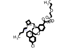 C=CCOCCS(=O)(=O)NC(=O)c1ccc2c(c1)N(C[C@@H]1CC[C@H]1/C=C/CCC)C[C@@]1(CCCc3cc(Cl)ccc31)CO2